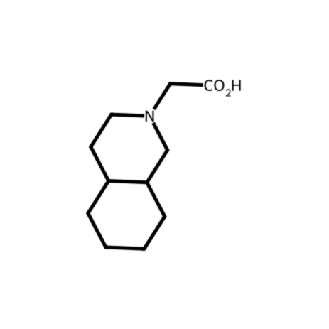 O=C(O)CN1CCC2CCCCC2C1